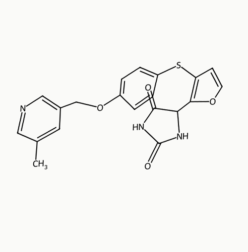 Cc1cncc(COc2ccc(Sc3ccoc3C3NC(=O)NC3=O)cc2)c1